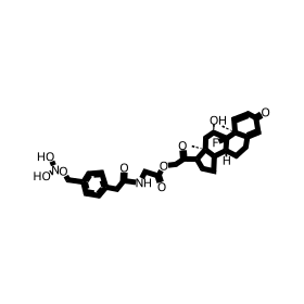 C[C@]12C[C@H](O)C3(F)[C@@H](CCC4=CC(=O)C=C[C@@]43C)C1CCC2C(=O)COC(=O)CNC(=O)Cc1ccc(CON(O)O)cc1